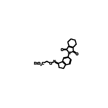 CCOC(=O)CON=C1CCc2ccc(N3C(=O)C4=C(CCCC4)C3=O)cc21